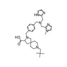 Cn1ccnc1CN(Cc1ccc(CN2CC3(CCN(CC(C)(C)C)CC3)CC2C(=O)O)cc1)Cc1ncc[nH]1